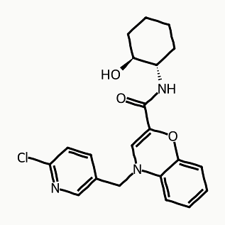 O=C(N[C@H]1CCCC[C@@H]1O)C1=CN(Cc2ccc(Cl)nc2)c2ccccc2O1